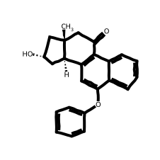 C[C@@]12CC(=O)c3c(cc(Oc4ccccc4)c4ccccc34)[C@H]1C[C@H](O)C2